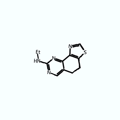 CCNc1ncc2c(n1)-c1ncsc1CC2